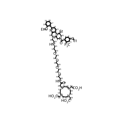 CCOc1ccc(C(=O)N2CCN(c3ccc(-c4ccccc4OCC)nc3CNCCNCCCOCCOCCOCCOCCNC(=O)CN3CCN(CC(=O)O)CCN(CC(=O)O)CCN(CC(=O)O)CC3)[C@H](CC)C2)c(C(F)(F)F)c1